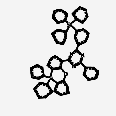 c1ccc(-c2nc(-c3cccc([Si](c4ccccc4)(c4ccccc4)c4ccccc4)c3)nc(-c3cccc4c3Oc3ccccc3[Si]4(c3ccccc3)c3ccccc3)n2)cc1